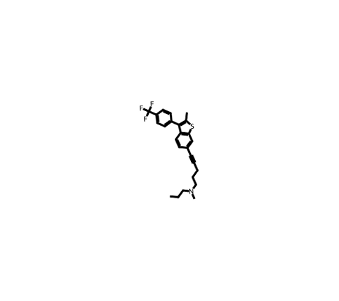 CCCN(C)CCCC#Cc1ccc2c(-c3ccc(C(F)(F)F)cc3)c(C)sc2c1